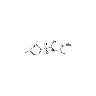 Cc1ccc(S(=O)(=O)C(NC(=O)OC(C)(C)C)C(C)C)cc1